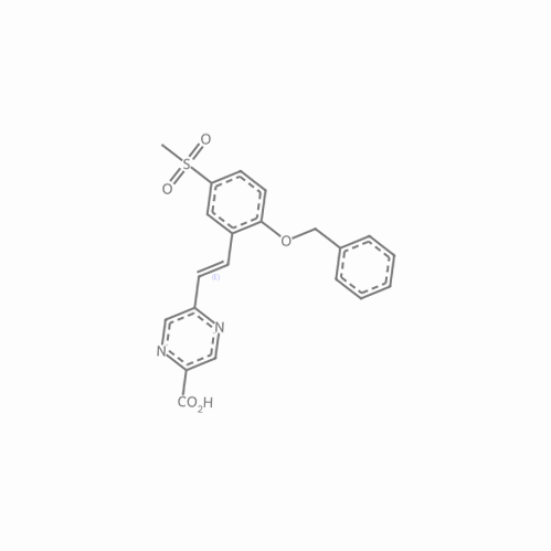 CS(=O)(=O)c1ccc(OCc2ccccc2)c(/C=C/c2cnc(C(=O)O)cn2)c1